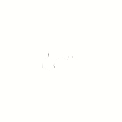 CNCCC1=CC=CCC1C